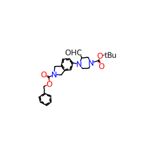 CC(C)(C)OC(=O)N1CCN(c2ccc3c(c2)CN(C(=O)OCc2ccccc2)C3)C(C=O)C1